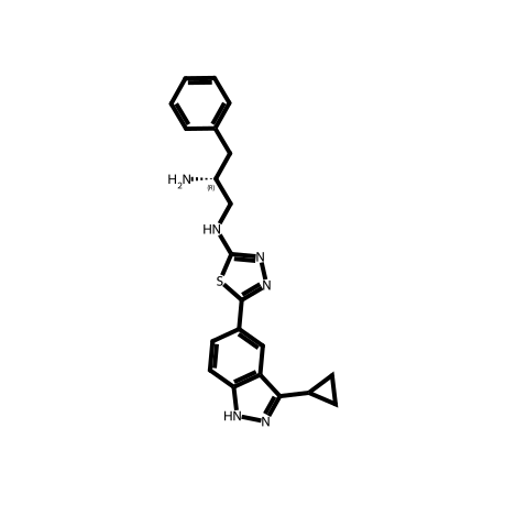 N[C@@H](CNc1nnc(-c2ccc3[nH]nc(C4CC4)c3c2)s1)Cc1ccccc1